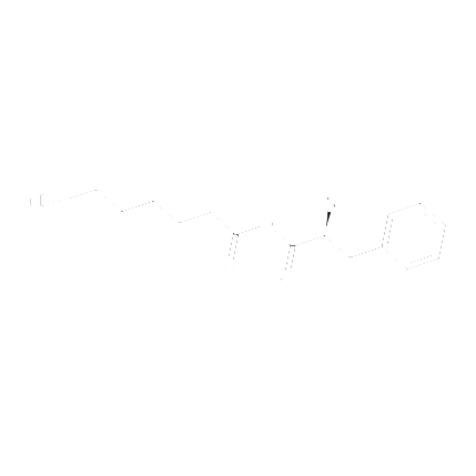 CCCCCCCCCCCCCCCC(=O)OC(=O)[C@@H](N)Cc1ccccc1